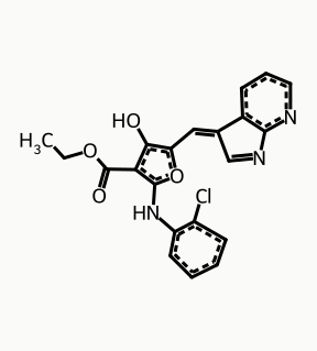 CCOC(=O)c1c(Nc2ccccc2Cl)oc(C=C2C=Nc3ncccc32)c1O